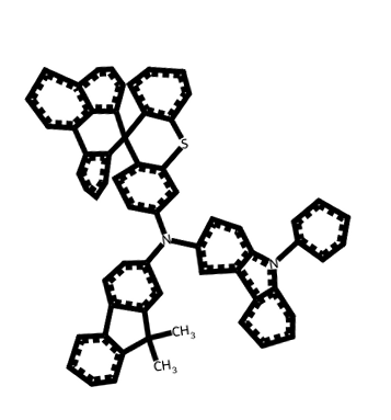 CC1(C)c2ccccc2-c2ccc(N(c3ccc4c(c3)Sc3ccccc3C43c4ccccc4-c4cccc5cccc3c45)c3ccc4c(c3)c3ccccc3n4-c3ccccc3)cc21